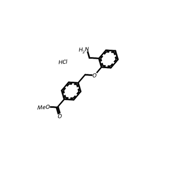 COC(=O)c1ccc(COc2ccccc2CN)cc1.Cl